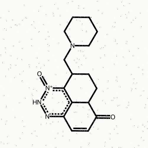 O=C1C=Cc2n[nH][n+](=O)c3c2C1CCC3CN1CC[CH]CC1